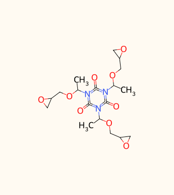 CC(OCC1CO1)n1c(=O)n(C(C)OCC2CO2)c(=O)n(C(C)OCC2CO2)c1=O